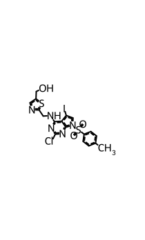 Cc1ccc(S(=O)(=O)n2cc(I)c3c(NCc4ncc(CO)s4)nc(Cl)nc32)cc1